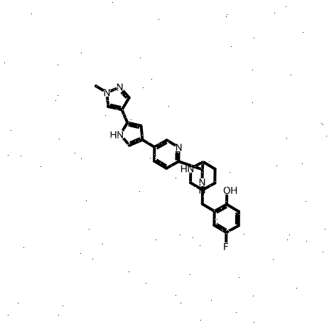 Cn1cc(-c2cc(-c3ccc(C4NC5(Cc6cc(F)ccc6O)CCC4NC5)nc3)c[nH]2)cn1